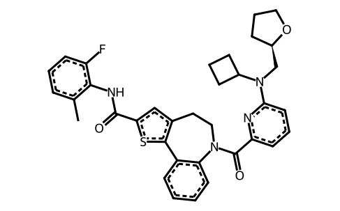 Cc1cccc(F)c1NC(=O)c1cc2c(s1)-c1ccccc1N(C(=O)c1cccc(N(C[C@H]3CCCO3)C3CCC3)n1)CC2